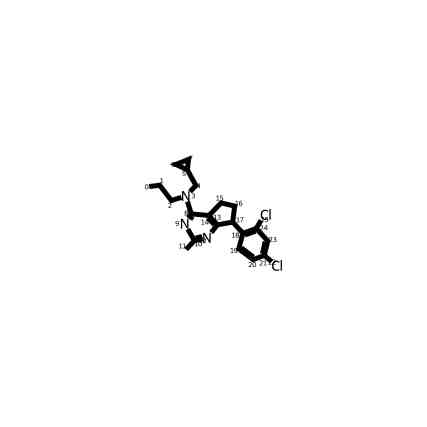 CCCN(CC1CC1)c1nc(C)nc2c1CCC2c1ccc(Cl)cc1Cl